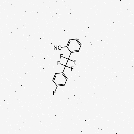 N#Cc1ccccc1C(F)(F)C(F)(F)c1ccc(F)cc1